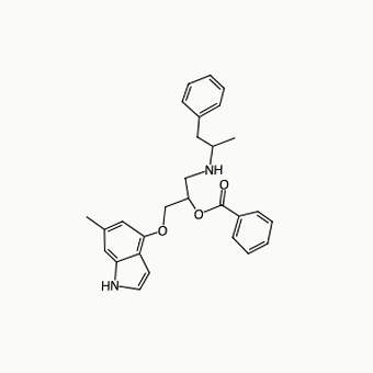 Cc1cc(OCC(CNC(C)Cc2ccccc2)OC(=O)c2ccccc2)c2cc[nH]c2c1